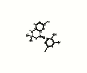 CC(=O)c1cc(F)ccc1O.CCC1(CC)CC(=O)c2cc(F)ccc2O1